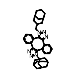 c1ccc2c(c1)-c1nnn(CC3CC4CCCC(C4)C3)c1-c1ccccc1-c1nnn(C34CC5CC(CC(C5)C3)C4)c1-2